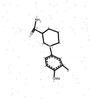 COc1ccc(N2CCCC(C(N)=O)C2)cc1C